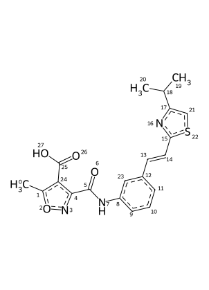 Cc1onc(C(=O)Nc2cccc(C=Cc3nc(C(C)C)cs3)c2)c1C(=O)O